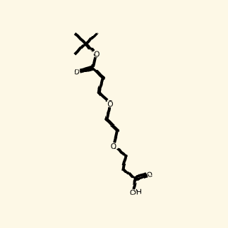 CC(C)(C)OC(=O)CCOCCOCCC(=O)O